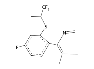 C=NC(=C(C)C)c1ccc(F)cc1SC(C)C(F)(F)F